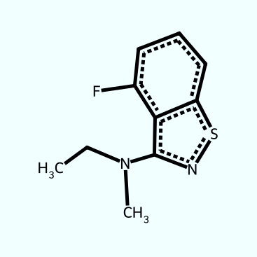 CCN(C)c1nsc2cccc(F)c12